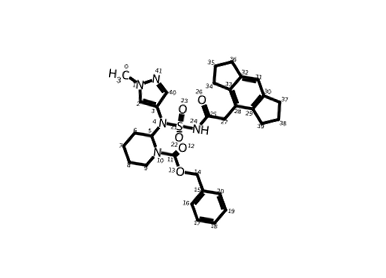 Cn1cc(N(C2CCCCN2C(=O)OCc2ccccc2)S(=O)(=O)NC(=O)Cc2c3c(cc4c2CCC4)CCC3)cn1